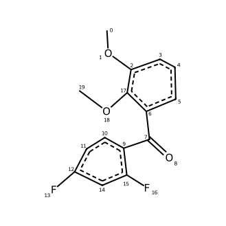 COc1cccc(C(=O)c2ccc(F)cc2F)c1OC